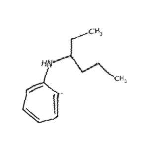 CCCC(CC)Nc1[c]cccc1